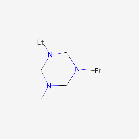 CCN1CN(C)CN(CC)C1